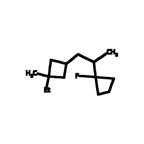 CCC1(C)CC(CC(C)C2(F)CCC2)C1